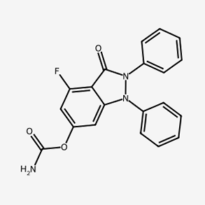 NC(=O)Oc1cc(F)c2c(=O)n(-c3ccccc3)n(-c3ccccc3)c2c1